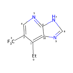 CCc1c(C(F)(F)F)cnc2[nH]cnc12